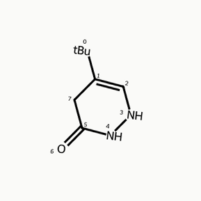 CC(C)(C)C1=CNNC(=O)C1